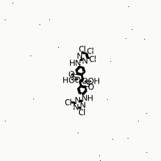 O=S(=O)(O)c1cc(Nc2nc(Cl)nc(Cl)n2)ccc1C=Cc1ccc(Nc2nc(Cl)c(Cl)c(Cl)n2)cc1S(=O)(=O)O